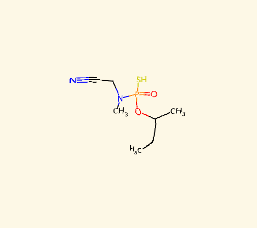 CCC(C)OP(=O)(S)N(C)CC#N